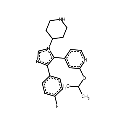 CC(C)Oc1cc(-c2c(-c3ccc(F)cc3)ncn2C2CCNCC2)ccn1